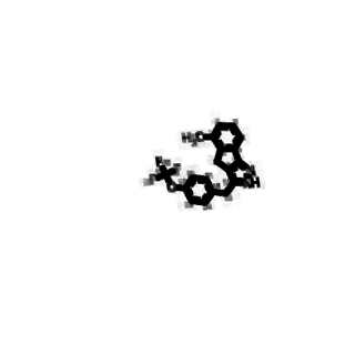 Cc1cccc2c1Cc1c-2n[nH]c1Cc1ccc(OC(F)(F)F)cc1